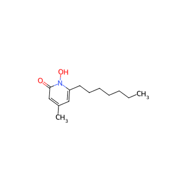 CCCCCCCc1cc(C)cc(=O)n1O